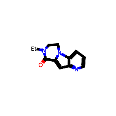 CCN1CCn2c(cc3ncccc32)C1=O